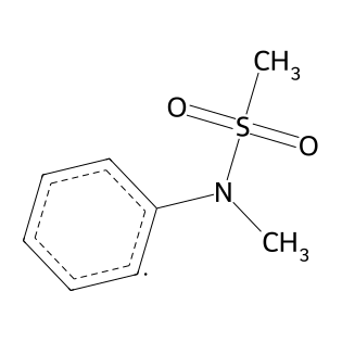 CN(c1[c]cccc1)S(C)(=O)=O